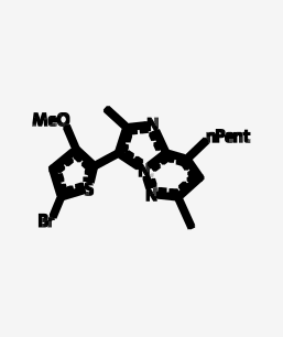 CCCCCc1cc(C)nn2c(-c3sc(Br)cc3OC)c(C)nc12